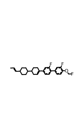 C/C=C/C1CCC(C2CC=C(c3ccc(-c4ccc(OCF)c(F)c4)c(F)c3)CC2)CC1